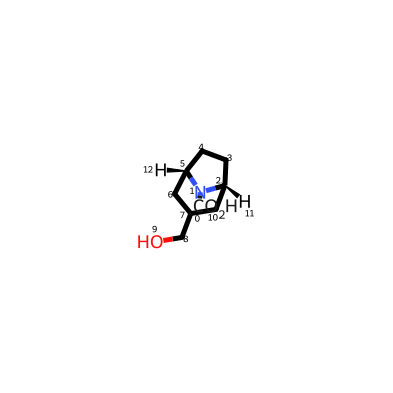 O=C(O)N1[C@@H]2CC[C@H]1CC(CO)C2